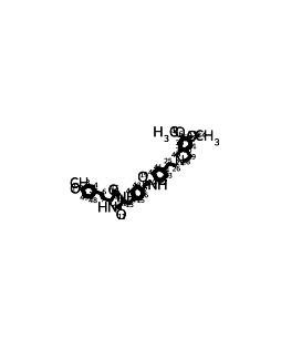 COc1ccc(C=CC2NC(=O)C(=Cc3ccc(C(=O)Nc4ccc(CCN5CCc6cc(OC)c(OC)cc6C5)cc4)cc3)NC2=O)cc1